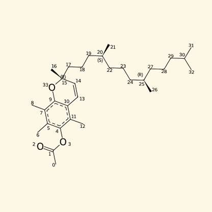 CC(=O)Oc1c(C)c(C)c2c(c1C)C=C[C@@](C)(CCC[C@@H](C)CCC[C@H](C)CCCC(C)C)O2